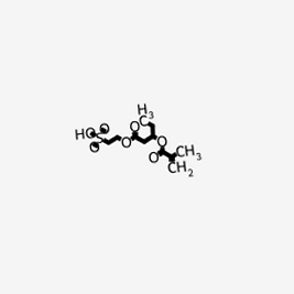 C=C(C)C(=O)OC(CC)CC(=O)OCCS(=O)(=O)O